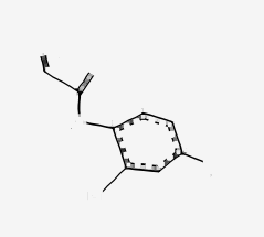 C=CC(=O)Oc1ccc(C)cc1C(C)(C)C